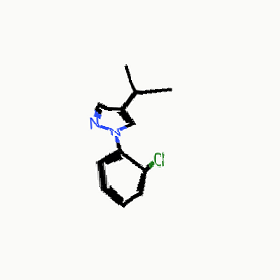 CC(C)c1cnn(-c2ccccc2Cl)c1